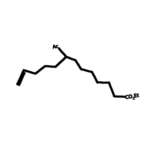 C=CCCCC(CCCCCCC(=O)OCC)C(C)=O